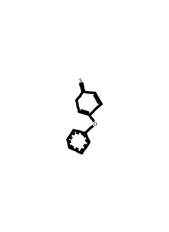 S=C1C=CC(Oc2[c]cccc2)=CC1